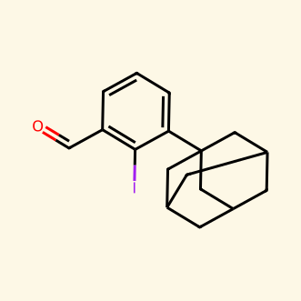 O=Cc1cccc(C23CC4CC(CC(C4)C2)C3)c1I